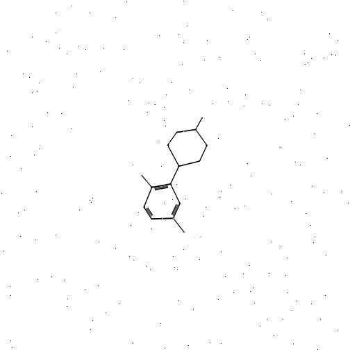 COc1ccc(F)c(C2CCC(O)CC2)c1